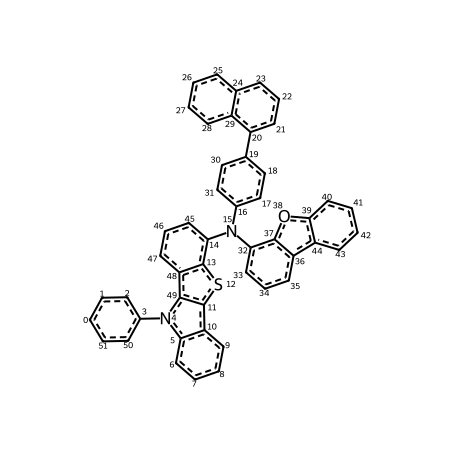 c1ccc(-n2c3ccccc3c3sc4c(N(c5ccc(-c6cccc7ccccc67)cc5)c5cccc6c5oc5ccccc56)cccc4c32)cc1